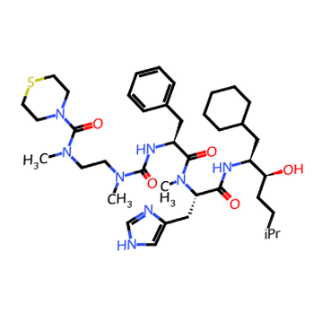 CC(C)CC[C@H](O)[C@H](CC1CCCCC1)NC(=O)[C@H](Cc1c[nH]cn1)N(C)C(=O)[C@H](Cc1ccccc1)NC(=O)N(C)CCN(C)C(=O)N1CCSCC1